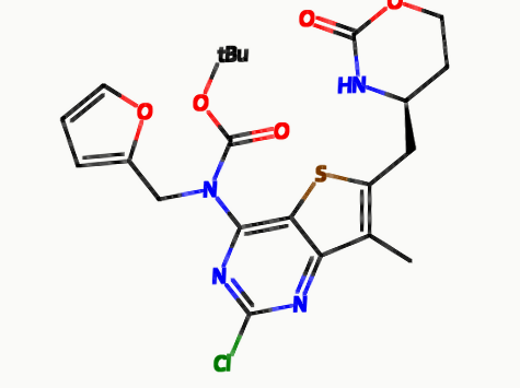 Cc1c(C[C@@H]2CCOC(=O)N2)sc2c(N(Cc3ccco3)C(=O)OC(C)(C)C)nc(Cl)nc12